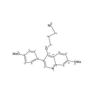 COc1ccc(-c2cnc3cc(OC)ccc3c2OCCCC#N)cc1